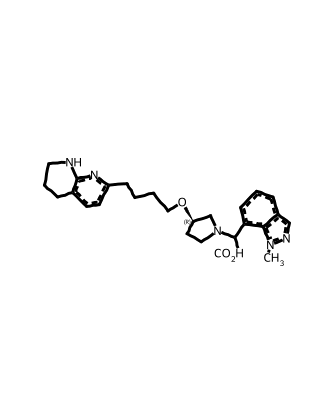 Cn1ncc2cccc(C(C(=O)O)N3CC[C@@H](OCCCCc4ccc5c(n4)NCCC5)C3)c21